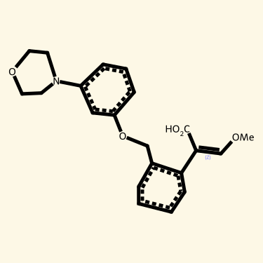 CO/C=C(\C(=O)O)c1ccccc1COc1cccc(N2CCOCC2)c1